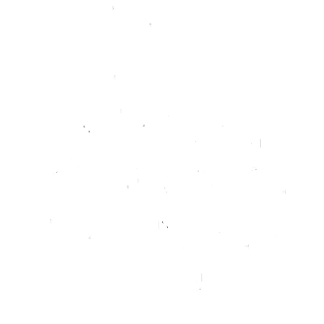 CSCCc1c(-c2ccccc2)nc2ccccc2c1C(=O)NC(C)C1CCCCC1